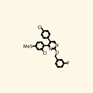 CSc1ccc(-c2nc(OCc3cccc(F)c3)ncc2-c2ccc(Cl)cc2)c(Cl)c1